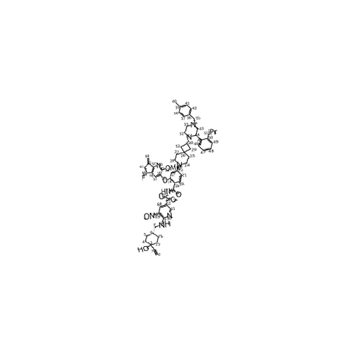 C#C[C@]1(O)CC[C@H](CNc2ncc(S(=O)(=O)NC(=O)c3ccc(N4CCC5(CC4)CC(N4CCN(Cc6ccc(C)cc6)C[C@H]4c4ccccc4C(C)C)C5)cc3Oc3cc4c(nc3OC)C(=C)C=C4F)cc2N=O)CC1